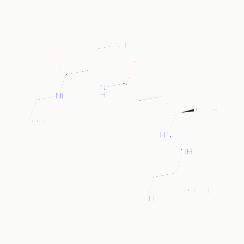 O=C(O)CNC(=O)[C@H](CS)NC(=O)CC[C@H](NN[C@@H](CS)C(=O)O)C(=O)O